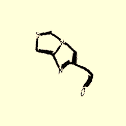 O=CC1=NC2=CSCN2C1